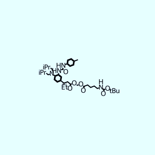 CC[C@@H](CC(=O)OCOC(=O)CCCCNC(=O)OC(C)(C)C)c1ccc(N(CC(C)C)CC(C)C)c(NC(=O)Nc2ccc(C)cc2)c1